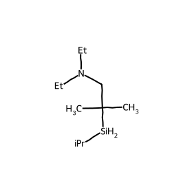 CCN(CC)CC(C)(C)[SiH2]C(C)C